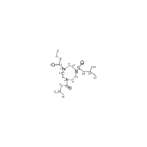 CCCC(=O)N1CCN(C(=O)CC(C)C)CCN(C(=O)CC(C)C)CC1